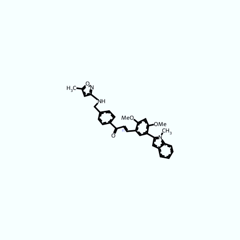 COc1cc(OC)c(-c2cc3ccccc3n2C)cc1/C=C/C(=O)c1ccc(CNc2cc(C)on2)cc1